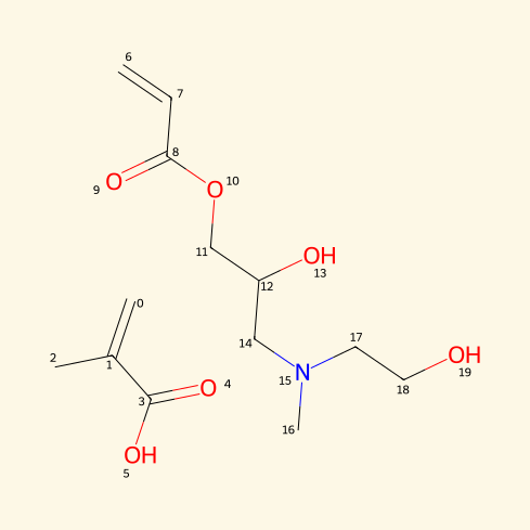 C=C(C)C(=O)O.C=CC(=O)OCC(O)CN(C)CCO